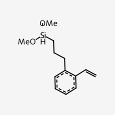 C=Cc1ccccc1CCC[SiH](OC)OC